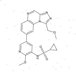 COCc1nnc2cnc3ccc(-c4cnc(OC)c(NS(=O)(=O)C5CC5)c4)cc3n12